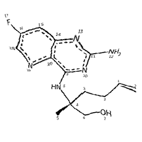 C=CCC[C@](C)(CO)Nc1nc(N)nc2cc(F)cnc12